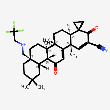 CC1(C)CC[C@]2(CNCC(F)(F)F)CC[C@]3(C)[C@H](C(=O)C=C4[C@@]5(C)C=C(C#N)C(=O)C6(CC6)[C@@H]5CC[C@]43C)[C@@H]2C1